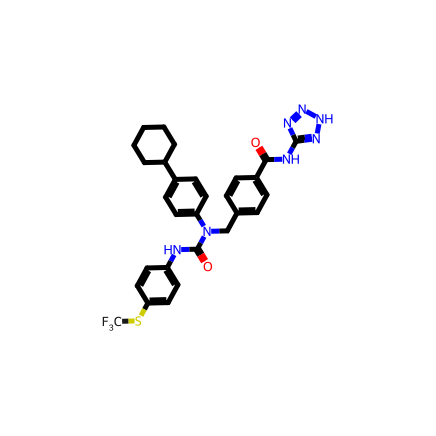 O=C(Nc1nn[nH]n1)c1ccc(CN(C(=O)Nc2ccc(SC(F)(F)F)cc2)c2ccc(C3CCCCC3)cc2)cc1